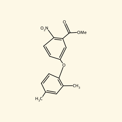 COC(=O)c1cc(Oc2ccc(C)cc2C)ccc1[N+](=O)[O-]